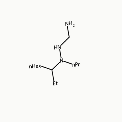 [CH2]CCCCCC(CC)N(CCC)NCN